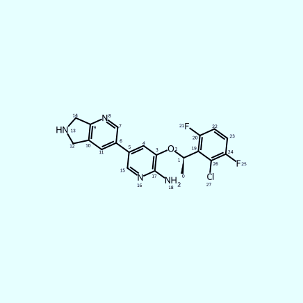 C[C@@H](Oc1cc(-c2cnc3c(c2)CNC3)cnc1N)c1c(F)ccc(F)c1Cl